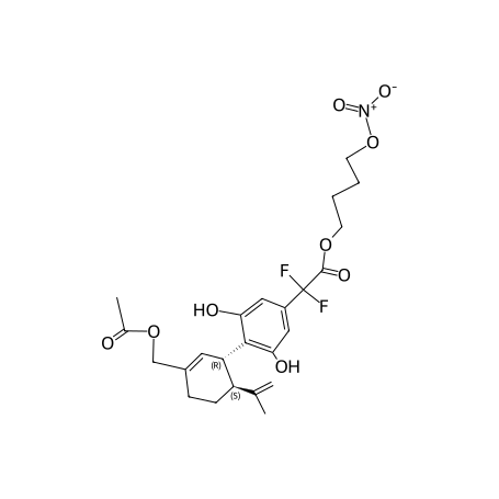 C=C(C)[C@H]1CCC(COC(C)=O)=C[C@@H]1c1c(O)cc(C(F)(F)C(=O)OCCCCO[N+](=O)[O-])cc1O